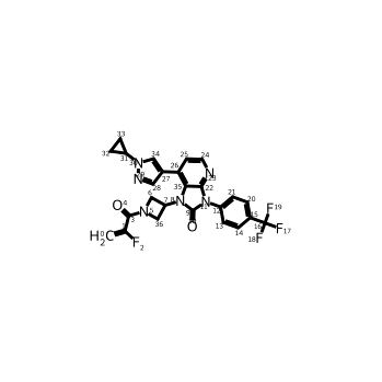 C=C(F)C(=O)N1CC(n2c(=O)n(-c3ccc(C(F)(F)F)cc3)c3nccc(-c4cnn(C5CC5)c4)c32)C1